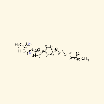 C=N/C=C\C(=C/C)c1ncc(-c2ccc(OCCCCCC(=O)OC)cc2)o1